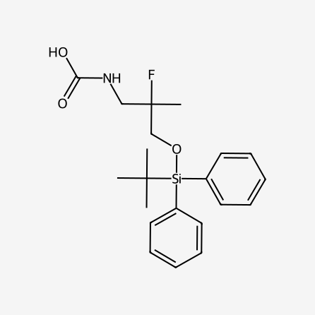 CC(F)(CNC(=O)O)CO[Si](c1ccccc1)(c1ccccc1)C(C)(C)C